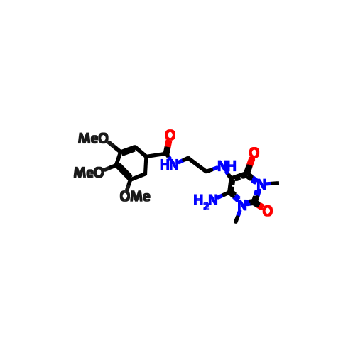 COC1=CC(C(=O)NCCNc2c(N)n(C)c(=O)n(C)c2=O)CC(OC)=C1OC